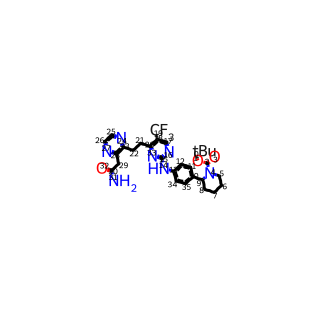 CC(C)(C)OC(=O)N1CCCCC1c1ccc(Nc2ncc(C(F)(F)F)c(CCc3nccnc3CC(N)=O)n2)cc1